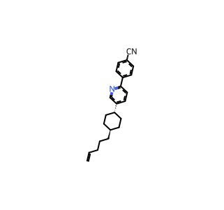 C=CCCC[C@H]1CC[C@H](c2ccc(-c3ccc(C#N)cc3)nc2)CC1